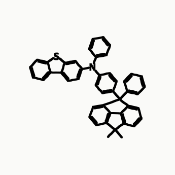 CC1(C)c2cccc3c2-c2c1cccc2C3(c1ccccc1)c1ccc(N(c2ccccc2)c2ccc3c(c2)sc2ccccc23)cc1